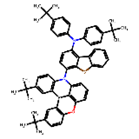 CC(C)(C)c1ccc(N(c2ccc(C(C)(C)C)cc2)c2ccc(N3c4ccc(C(C)(C)C)cc4B4c5cc(C(C)(C)C)ccc5Oc5cccc3c54)c3sc4ccccc4c23)cc1